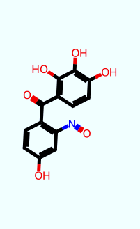 O=Nc1cc(O)ccc1C(=O)c1ccc(O)c(O)c1O